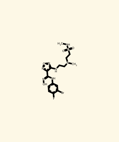 CNS(=O)(=O)CCN(C)CCNc1nonc1/C(=N/O)Nc1ccc(F)c(Br)c1